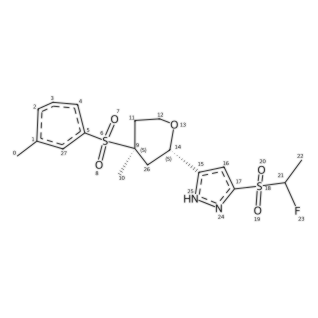 Cc1cccc(S(=O)(=O)[C@@]2(C)CCO[C@H](c3cc(S(=O)(=O)C(C)F)n[nH]3)C2)c1